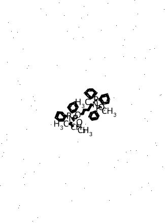 CCOP(OCCCC(C)N(P(OC)c1ccccc1)P(c1ccccc1)c1ccccc1)N(C(C)C)P(c1ccccc1)c1ccccc1